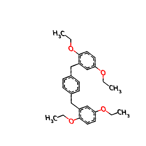 CCOc1ccc(OCC)c(Cc2ccc(Cc3cc(OCC)ccc3OCC)cc2)c1